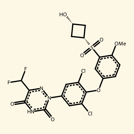 COc1ccc(Oc2c(Cl)cc(-n3nc(C(F)F)c(=O)[nH]c3=O)cc2Cl)cc1S(=O)(=O)[C@H]1C[C@@H](O)C1